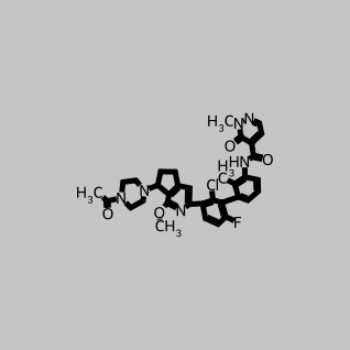 COc1nc(-c2ccc(F)c(-c3cccc(NC(=O)c4ccnn(C)c4=O)c3C)c2Cl)cc2c1C(N1CCN(C(C)=O)CC1)CC2